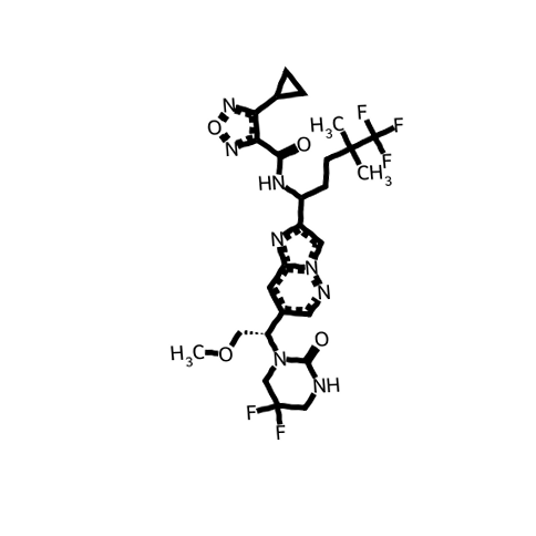 COC[C@H](c1cnn2cc(C(CCC(C)(C)C(F)(F)F)NC(=O)c3nonc3C3CC3)nc2c1)N1CC(F)(F)CNC1=O